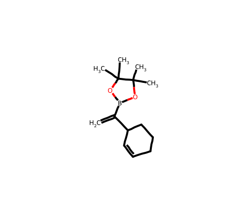 C=C(B1OC(C)(C)C(C)(C)O1)C1C=CCCC1